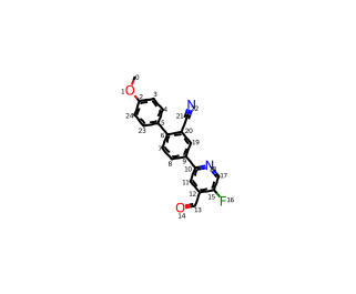 COc1ccc(-c2ccc(-c3cc(C=O)c(F)cn3)cc2C#N)cc1